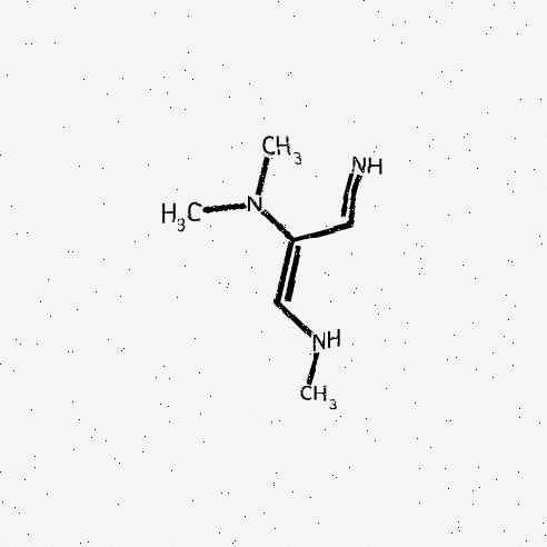 CN/C=C(\C=N)N(C)C